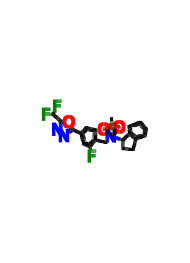 CS(=O)(=O)N(Cc1ccc(-c2nnc(C(F)F)o2)cc1F)[C@@H]1CCc2ccccc21